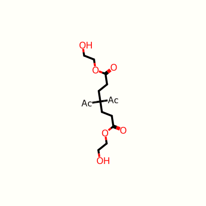 CC(=O)C(CCC(=O)OCCO)(CCC(=O)OCCO)C(C)=O